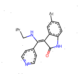 CC(=O)c1ccc2c(c1)C(=C(NCC(C)C)c1ccncc1)C(=O)N2